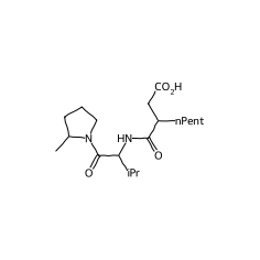 CCCCCC(CC(=O)O)C(=O)NC(C(=O)N1CCCC1C)C(C)C